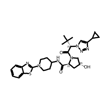 CC(C)(C)[C@@H](C(=O)N1C[C@H](O)C[C@H]1C(=O)NC1CCN(c2nc3ccccc3s2)CC1)n1cc(C2CC2)nn1